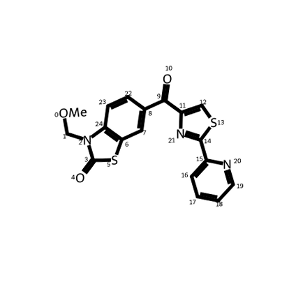 COCn1c(=O)sc2cc(C(=O)c3csc(-c4ccccn4)n3)ccc21